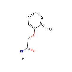 CC(C)NC(=O)COc1ccccc1C(=O)O